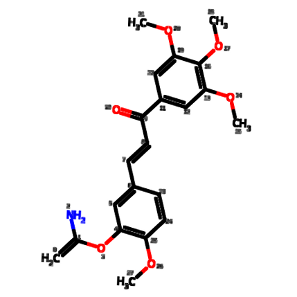 C=C(N)Oc1cc(/C=C/C(=O)c2cc(OC)c(OC)c(OC)c2)ccc1OC